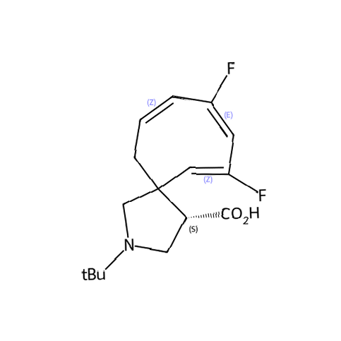 CC(C)(C)N1C[C@@H](C(=O)O)C2(/C=C(F)/C=C(F)\C=C/C2)C1